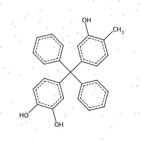 Cc1ccc(C(c2ccccc2)(c2ccccc2)c2ccc(O)c(O)c2)cc1O